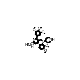 COc1cc(-c2ncccc2CN(c2cccc(OC)c2OC)C2CCNCC2)cc(OC)c1OC.Cl.Cl